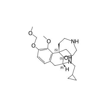 COCOc1ccc2c(c1OC)[C@@]13CCNCC[C@@]1(O)[C@@H](C2)N(CC1CC1)CC3